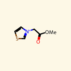 COC(=O)C[n+]1ccsc1